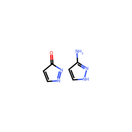 Nc1cc[nH]n1.O=C1C=CN=N1